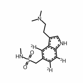 [2H]c1c(CS(=O)(=O)NC)c([2H])c2c(CCN(C)C)c[nH]c2c1[2H]